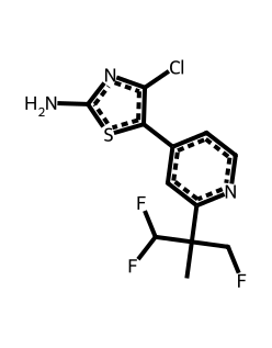 CC(CF)(c1cc(-c2sc(N)nc2Cl)ccn1)C(F)F